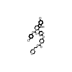 O=C(OCCN1CCOCC1)N1CCC(Oc2ncc([C@H]3c4[nH]c5ccc(Cl)cc5c4CCN3C(=O)Oc3ccc(Cl)cc3)cn2)CC1